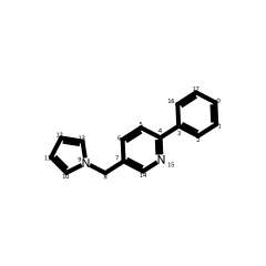 c1ccc(-c2ccc(Cn3cccc3)cn2)cc1